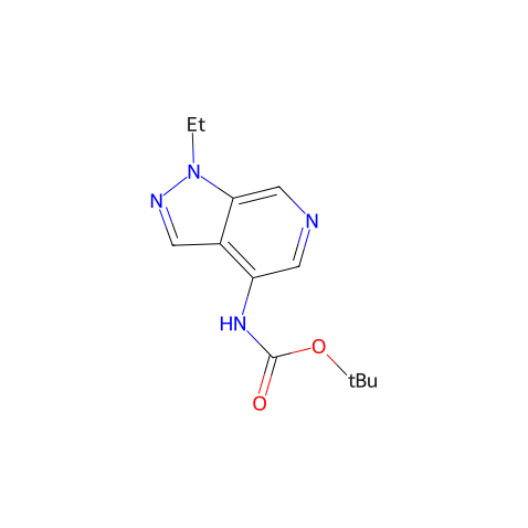 CCn1ncc2c(NC(=O)OC(C)(C)C)cncc21